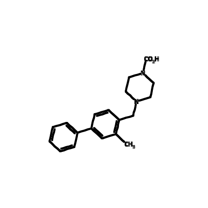 Cc1cc(-c2ccccc2)ccc1CN1CCN(C(=O)O)CC1